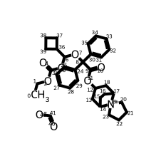 CCOC(=O)OC(OC(C(=O)OC1CC2CCC(C1)[N+]21CCCC1)(c1ccccc1)c1ccccc1)C1CCC1.O=C[O-]